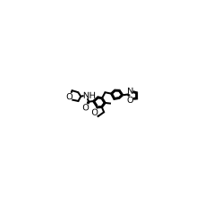 Cc1c(Cc2ccc(-c3ncco3)cc2)cc(C(=O)NC2CCOCC2)c2c1CCO2